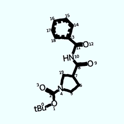 CC(C)(C)OC(=O)N1CCC(C(=O)NC(=O)c2ccccc2)C1